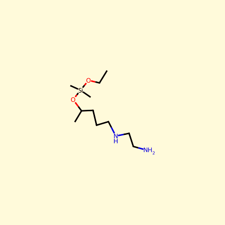 CCO[Si](C)(C)OC(C)CCCNCCN